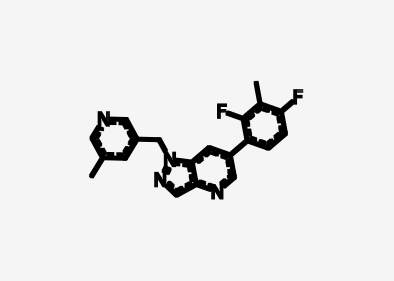 Cc1cncc(Cn2ncc3ncc(-c4ccc(F)c(C)c4F)cc32)c1